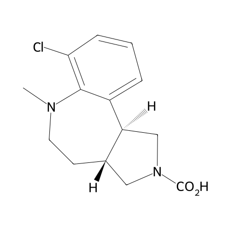 CN1CC[C@H]2CN(C(=O)O)C[C@@H]2c2cccc(Cl)c21